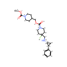 CC(C)(C)OC(=O)N1CCC(COC(=O)N2CCC(F)(CN[C@@H]3C[C@H]3c3ccccc3)CC2)CC1